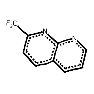 FC(F)(F)c1ccc2cccnc2n1